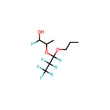 CCCOC(F)(OC(C)C(O)F)C(F)(F)C(F)(F)F